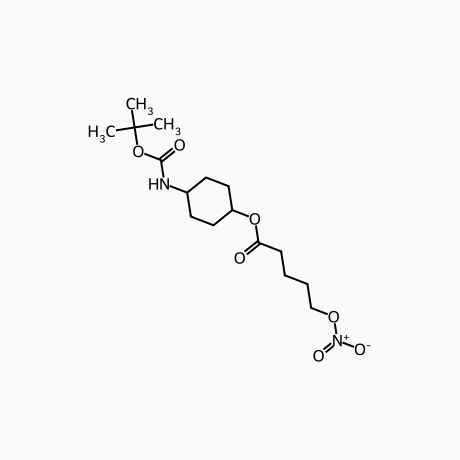 CC(C)(C)OC(=O)NC1CCC(OC(=O)CCCCO[N+](=O)[O-])CC1